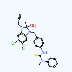 C#CCN1c2cc(Cl)c(Cl)cc2N(Cc2ccc(NC(=S)N(C)c3ccccc3)cc2)C1(C)O